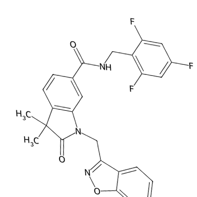 CC1(C)C(=O)N(Cc2noc3ccccc23)c2cc(C(=O)NCc3c(F)cc(F)cc3F)ccc21